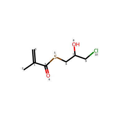 C=C(C)C(=O)SCC(O)CCl